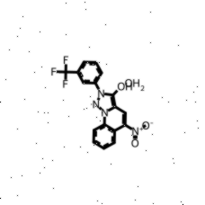 O.O=[N+]([O-])C1=CC2=C(O)N(c3cccc(C(F)(F)F)c3)[N]N2c2ccccc21